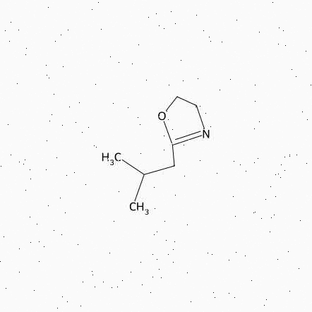 CC(C)CC1=NCCO1